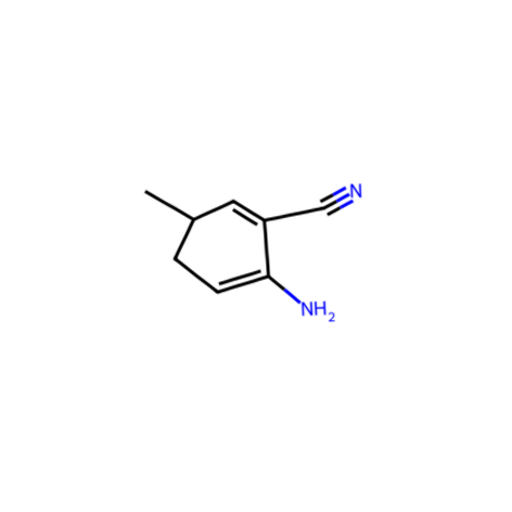 CC1C=C(C#N)C(N)=CC1